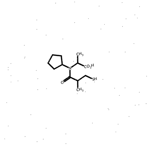 CC(CS)C(=O)N(C1CCCC1)C(C)C(=O)O